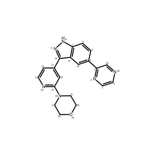 c1cnc(-c2ccc3[nH]nc(-c4ccnc(N5CCOCC5)c4)c3c2)cn1